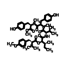 CC[C@@H](C)[C@@H](OC(=O)[C@@H](Cc1ccc(OC)cc1)N(C)C)C(=O)N[C@H](C(=O)N(C)C(Cc1ccc(O)cc1)C(=O)N(C)[C@H](Cc1ccc(O)cc1)C(=O)OC)C(C)C